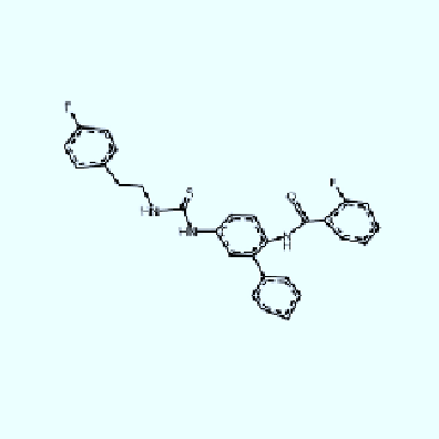 O=C(Nc1ccc(NC(=S)NCCc2ccc(F)cc2)cc1-c1ccccc1)c1ccccc1F